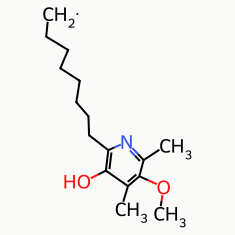 [CH2]CCCCCCCc1nc(C)c(OC)c(C)c1O